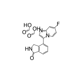 O=C1NCc2c1cccc2-c1cnc2cc(F)ccn12.O=CO.O=CO